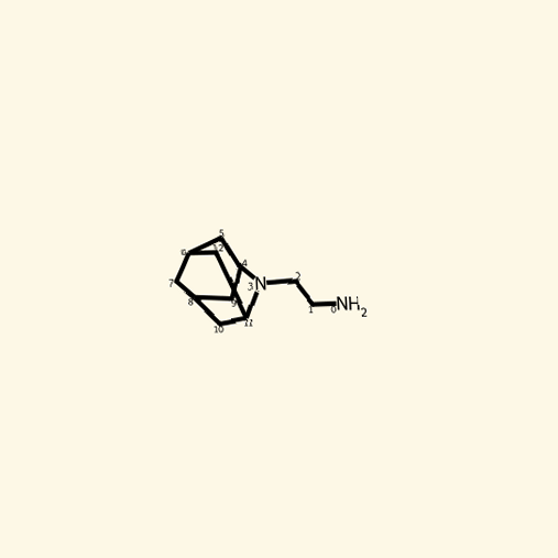 NCCN1C2CC3CC(C2)CC1C3